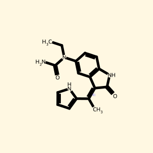 CCN(C(N)=O)c1ccc2c(c1)/C(=C(/C)c1ccc[nH]1)C(=O)N2